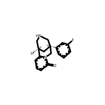 O=c1cccc2n1C[C@]1(c3cccc(F)c3)CNC[C@H]2C1